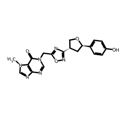 Cn1cnc2ncn(Cc3nc([C@@H]4CO[C@@H](c5ccc(O)cc5)C4)no3)c(=O)c21